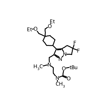 CCOCC1(COCC)CCC(c2c(CN(C)CCN(C)C(=O)OC(C)(C)C)nn3c2CC(F)(F)C3)CC1